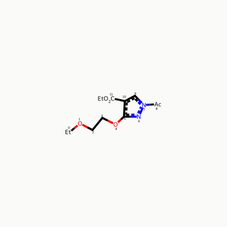 CCOCCOc1nn(C(C)=O)cc1C(=O)OCC